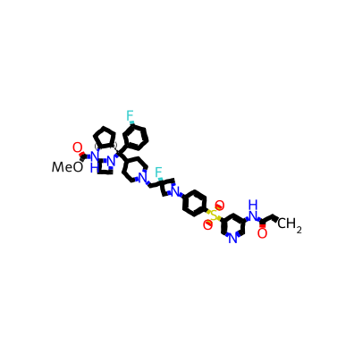 C=CC(=O)Nc1cncc(S(=O)(=O)c2ccc(N3CC(F)(CN4CCC(C(c5cccc(F)c5)([C@H]5CCC[C@@H]5NC(=O)OC)N5CCC5)CC4)C3)cc2)c1